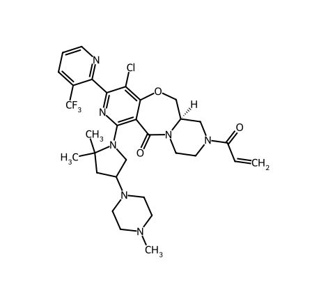 C=CC(=O)N1CCN2C(=O)c3c(N4CC(N5CCN(C)CC5)CC4(C)C)nc(-c4ncccc4C(F)(F)F)c(Cl)c3OC[C@H]2C1